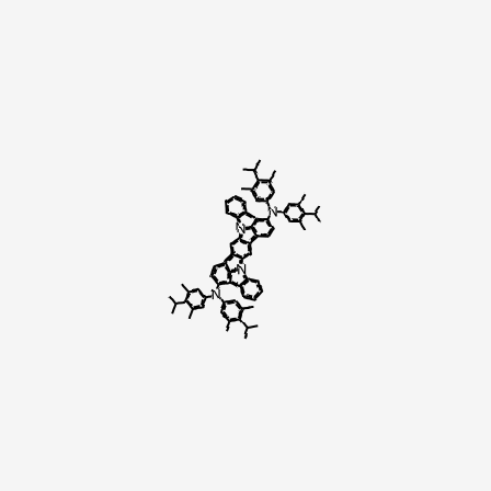 Cc1cc(N(c2cc(C)c(C(C)C)c(C)c2)c2ccc3c4cc5c(cc4n4c6ccccc6c2c34)c2ccc(N(c3cc(C)c(C(C)C)c(C)c3)c3cc(C)c(C(C)C)c(C)c3)c3c4ccccc4n5c23)cc(C)c1C(C)C